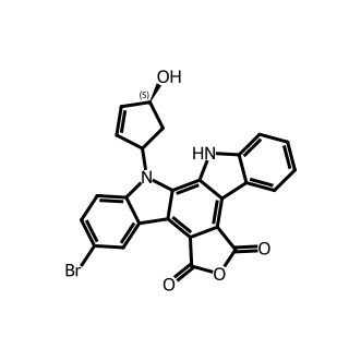 O=C1OC(=O)c2c1c1c3ccccc3[nH]c1c1c2c2cc(Br)ccc2n1C1C=C[C@@H](O)C1